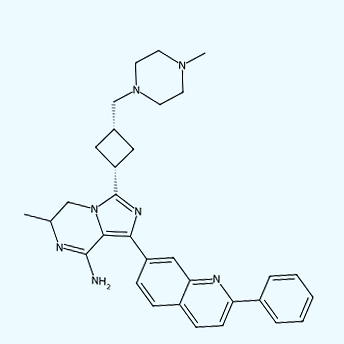 CC1Cn2c(c(-c3ccc4ccc(-c5ccccc5)nc4c3)nc2[C@H]2C[C@@H](CN3CCN(C)CC3)C2)C(N)=N1